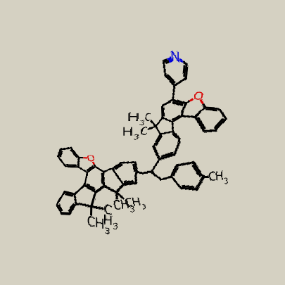 Cc1ccc(CC(c2ccc3c(c2)C(C)(C)c2cc(-c4ccncc4)c4oc5ccccc5c4c2-3)c2ccc3c(c2)C(C)(C)c2c4c(c5c(oc6ccccc65)c2-3)-c2ccccc2C4(C)C)cc1